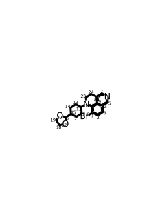 Brc1ccc2cncc3c2c1N(C1CCC(C2OCCO2)CC1)CC3